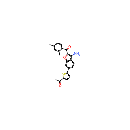 CC(=O)c1ccc(-c2ccc3c(N)c(C(=O)c4ccc(C)cc4C)oc3c2)s1